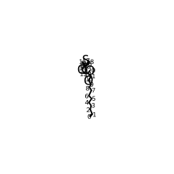 C=CCCCCCCCCOCC1COc2cscc2O1